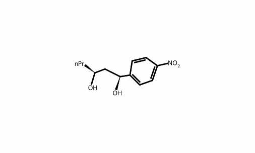 CCC[C@H](O)C[C@H](O)c1ccc([N+](=O)[O-])cc1